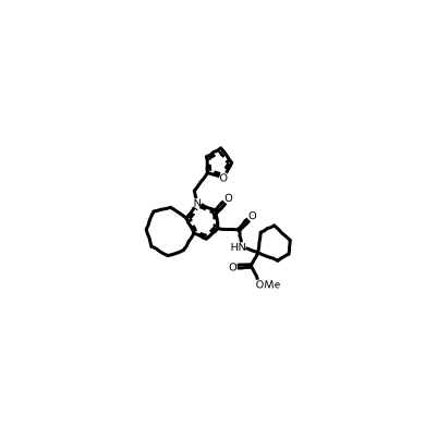 COC(=O)C1(NC(=O)c2cc3c(n(Cc4ccco4)c2=O)CCCCCC3)CCCCC1